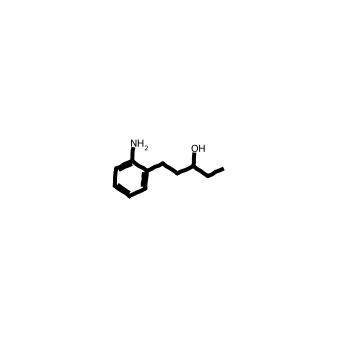 CCC(O)CCc1c[c]ccc1N